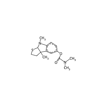 CN(C)C(=O)Oc1ccc2c(c1)C1(C)CCSC1N2C